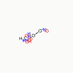 C[C@@H](O)[C@H](NC(=O)c1ccc(C#Cc2ccc(CN3CCOCC3)cc2)cc1)C(=O)NO